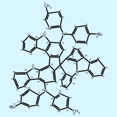 Cc1ccc(N(c2ccc(C(C)(C)C)cc2)c2cc3c(c4c2oc2ccccc24)-c2c(cc(N(c4ccc(C(C)(C)C)cc4)c4ccc(C)cn4)c4c2oc2ccccc24)C32c3ccccc3-n3c4ccccc4c4cccc2c43)nc1